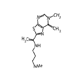 C=C(NCCCNC)c1nc2c(s1)N=CN(C)C2=C